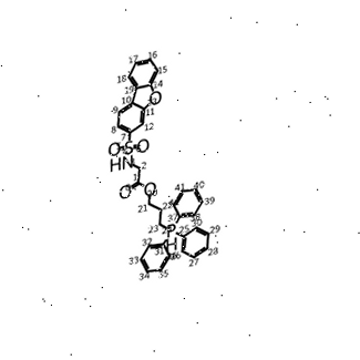 O=C(CNS(=O)(=O)c1ccc2c(c1)oc1ccccc12)OCCC[PH](c1ccccc1)(c1ccccc1)c1ccccc1